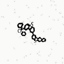 O=P(c1ccccc1)(c1ccccc1)c1ccc2sc3ccc(-c4ccc5sc6cc7ccccc7cc6c5c4)cc3c2c1